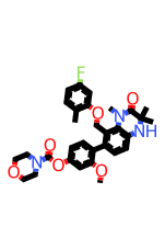 COc1cc(OC(=O)N2CCOCC2)ccc1-c1ccc2c(c1COc1cc(F)ccc1C)N(C)C(=O)C(C)(C)N2